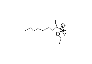 CCCCCCCC(I)[Si](OC)(OC)OCC